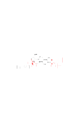 C=C(C)[C@@H]1CC[C@]2(C(=O)OCCCC)CC[C@]3(C)C(CCC4[C@@]5(C)CC[C@H](O)[C@@](C)(CO)C5CC[C@]43C)C12